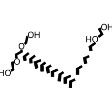 C=CC.C=CC.C=CC.C=CC.C=CC.C=CC.C=CC.C=CC.C=CC.C=CC.C=CC.C=CC.OCCO.OCCOCCOCCO